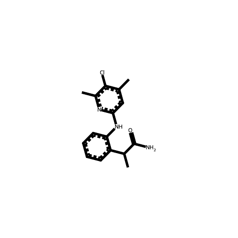 Cc1cc(Nc2ccccc2C(C)C(N)=O)nc(C)c1Cl